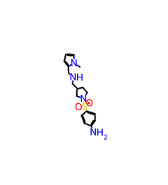 Cn1cccc1CNCC1CCN(S(=O)(=O)c2ccc(N)cc2)C1